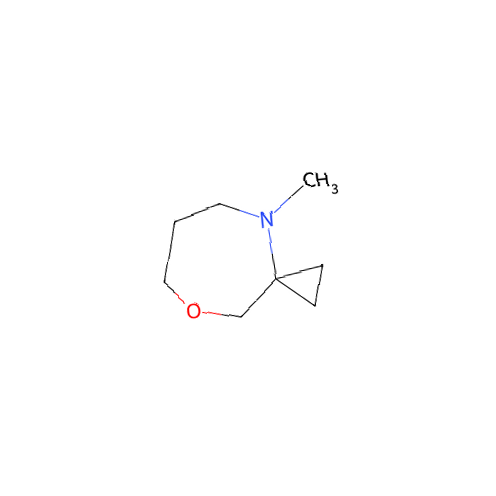 CN1CCCOCC12CC2